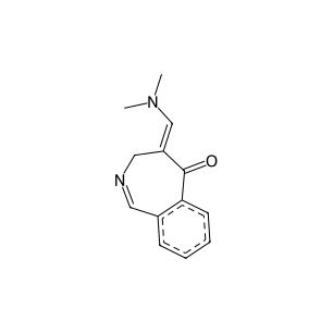 CN(C)/C=C1\CN=Cc2ccccc2C1=O